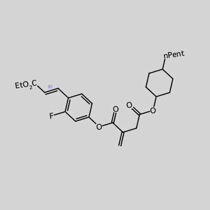 C=C(CC(=O)OC1CCC(CCCCC)CC1)C(=O)Oc1ccc(/C=C/C(=O)OCC)c(F)c1